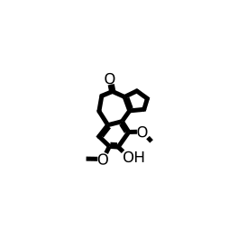 COc1cc2c(c(OC)c1O)C1=C(CCC1)C(=O)CC2